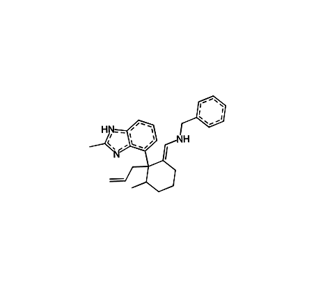 C=CCC1(c2cccc3[nH]c(C)nc23)/C(=C/NCc2ccccc2)CCCC1C